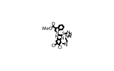 COC(=O)c1cn(-c2nc3cc(Cl)c(Cl)cc3nc2Sc2nnnn2CCN(C)C)c2ccccc12